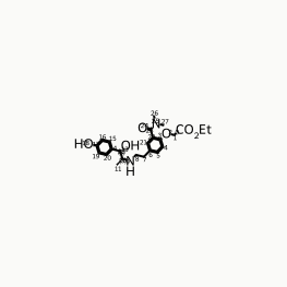 CCOC(=O)COc1ccc(CCN[C@@H](C)[C@H](O)c2ccc(O)cc2)cc1C(=O)N(C)C